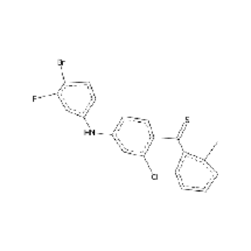 Cc1ccccc1C(=S)c1ccc(Nc2ccc(Br)c(F)c2)cc1Cl